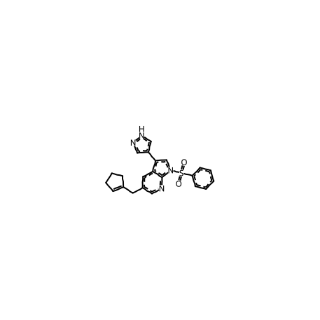 O=S(=O)(c1ccccc1)n1cc(-c2cn[nH]c2)c2cc(CC3=CCCC3)cnc21